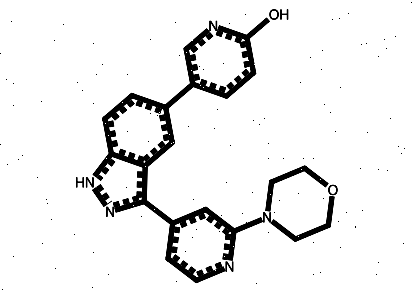 Oc1ccc(-c2ccc3[nH]nc(-c4ccnc(N5CCOCC5)c4)c3c2)cn1